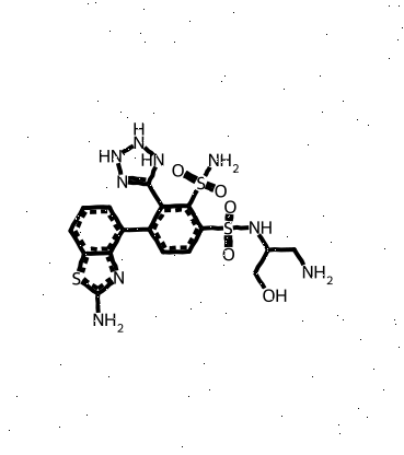 NCC(CO)NS(=O)(=O)c1ccc(-c2cccc3sc(N)nc23)c(C2=NNNN2)c1S(N)(=O)=O